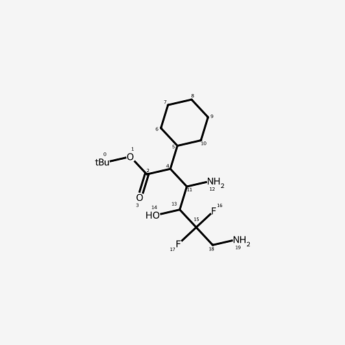 CC(C)(C)OC(=O)C(C1CCCCC1)C(N)C(O)C(F)(F)CN